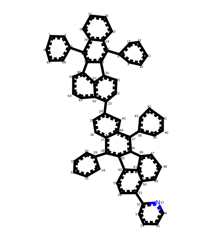 c1ccc(-c2c3c(c(-c4ccccc4)c4ccccc24)-c2ccc(-c4ccc5c(-c6ccccc6)c6c(c(-c7ccccc7)c5c4)-c4cccc5c(-c7ccccn7)ccc-6c45)c4cccc-3c24)cc1